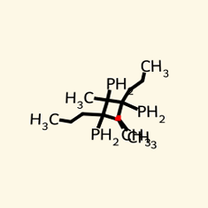 CCCC(P)(CC)C(C)(P)C(P)(CC)CCC